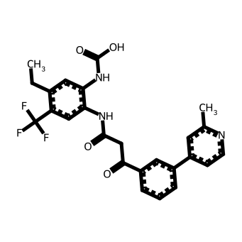 CCc1cc(NC(=O)O)c(NC(=O)CC(=O)c2cccc(-c3ccnc(C)c3)c2)cc1C(F)(F)F